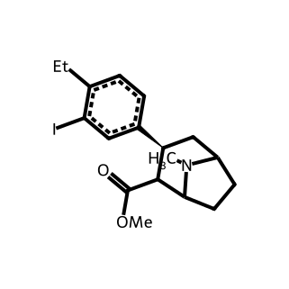 CCc1ccc([C@H]2CC3CCC(C2C(=O)OC)N3C)cc1I